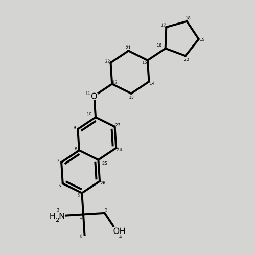 CC(N)(CO)c1ccc2cc(OC3CCC(C4CCCC4)CC3)ccc2c1